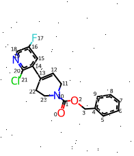 O=C(OCc1ccccc1)N1CC=C(c2cc(F)cnc2Cl)CC1